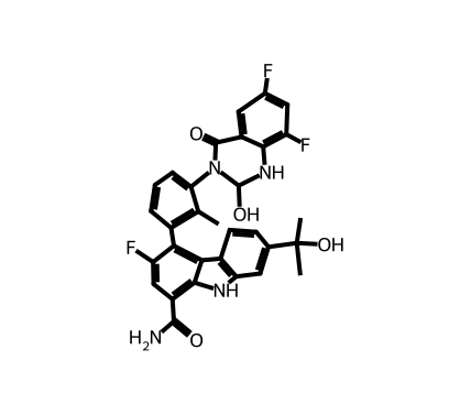 Cc1c(-c2c(F)cc(C(N)=O)c3[nH]c4cc(C(C)(C)O)ccc4c23)cccc1N1C(=O)c2cc(F)cc(F)c2NC1O